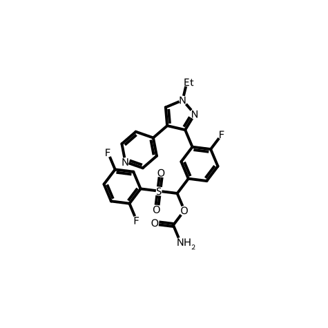 CCn1cc(-c2ccncc2)c(-c2cc(C(OC(N)=O)S(=O)(=O)c3cc(F)ccc3F)ccc2F)n1